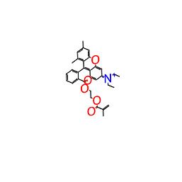 C=C(C)C(=O)OCCOC(=O)c1ccccc1-c1c2ccc(=[N+](CC)CC)cc-2oc2cc(C)cc(C)c12